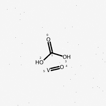 O=C(O)O.[O]=[V]